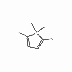 CC1=CC=C(I)S1(C)C